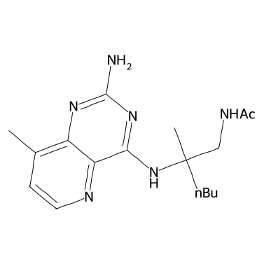 CCCCC(C)(CNC(C)=O)Nc1nc(N)nc2c(C)ccnc12